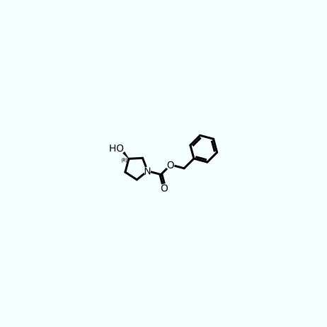 O=C(OCc1ccccc1)N1CC[C@@H](O)C1